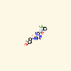 Cc1cc(C(=O)NC2CCc3c2ccc(C=O)c3C)n2ncc(C(=O)Nc3ccccc3Cl)c2n1